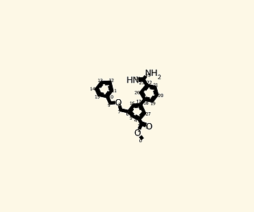 COC(=O)c1cc(COCc2ccccc2)cc(-c2cccc(C(=N)N)c2)c1